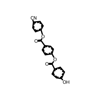 N#Cc1ccc(OC(=O)c2ccc(OC(=O)c3ccc(O)cc3)cc2)cc1